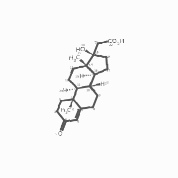 C[C@]12CCC(=O)C=C1CC[C@@H]1[C@@H]2CC[C@@]2(C)[C@H]1CC[C@@]2(O)CC(=O)O